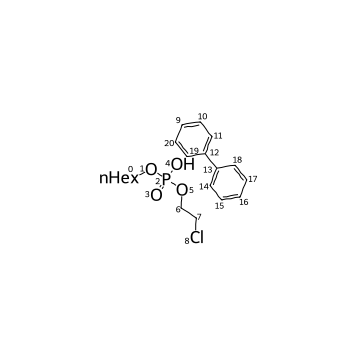 CCCCCCOP(=O)(O)OCCCl.c1ccc(-c2ccccc2)cc1